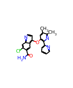 Cc1cc(Oc2ccnc3cc(Cl)c(C(N)=O)cc23)c(-c2ccccn2)nc1C